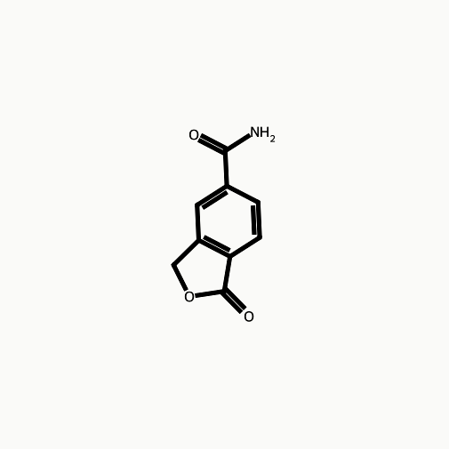 NC(=O)c1ccc2c(c1)COC2=O